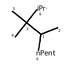 CCCCCC(C)C(C)(C)[C](C)C